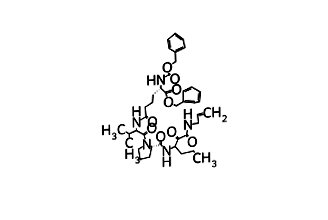 C=CCNC(=O)C(=O)C(CCC)NC(=O)[C@@H]1CCCN1C(=O)[C@@H](NC(=O)CCC[C@H](NC(=O)OCc1ccccc1)C(=O)OCc1ccccc1)C(C)C